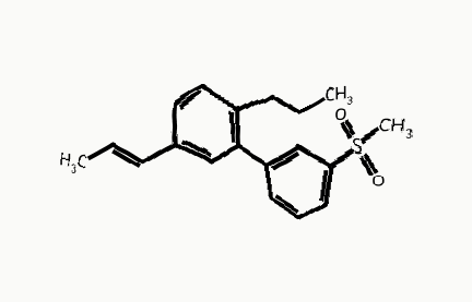 C/C=C/c1ccc(CCC)c(-c2cccc(S(C)(=O)=O)c2)c1